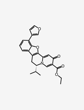 CCOC(=O)c1cn2c(cc1=O)-c1oc3c(-c4ccoc4)cccc3c1C[C@H]2C(C)C